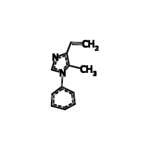 C=Cc1ncn(-c2ccccc2)c1C